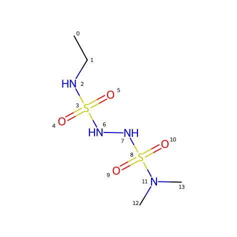 CCNS(=O)(=O)NNS(=O)(=O)N(C)C